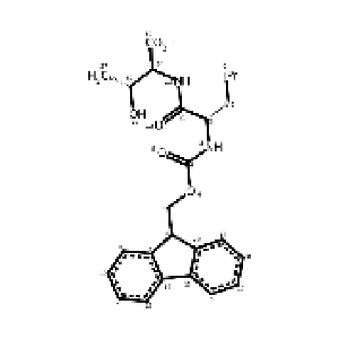 CC(C)C[C@H](NC(=O)OCC1c2ccccc2-c2ccccc21)C(=O)N[C@H](C(=O)O)[C@@H](C)O